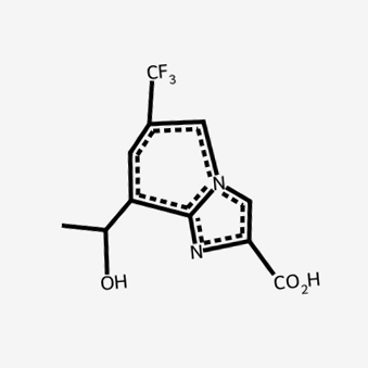 CC(O)c1cc(C(F)(F)F)cn2cc(C(=O)O)nc12